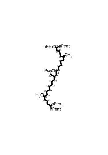 C=C(CCCCCCCC(CCCCCCCC(=C)CCCC(CCCCC)CCCCC)CN(C)C(C)C)CCCC(CCCCC)CCCCC